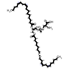 CCCC/C=C\C/C=C\CCCCCCCC(=O)O[C@H](COC(=O)CCCCCCCCCCC/C=C\C/C=C\CCCCC)COP(=O)(O)OC[C@H](N)C(=O)O